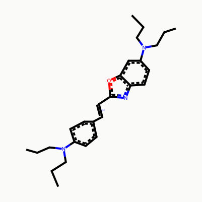 CCCN(CCC)c1ccc(/C=C/c2nc3ccc(N(CCC)CCC)cc3o2)cc1